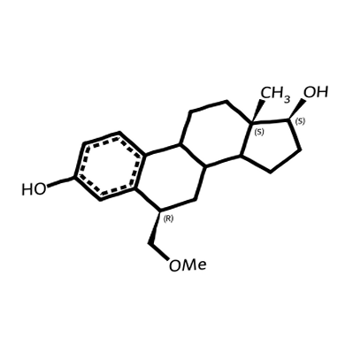 COC[C@@H]1CC2C(CC[C@@]3(C)C2CC[C@@H]3O)c2ccc(O)cc21